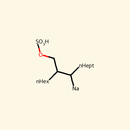 CCCCCCC[CH]([Na])C(CCCCCC)COS(=O)(=O)O